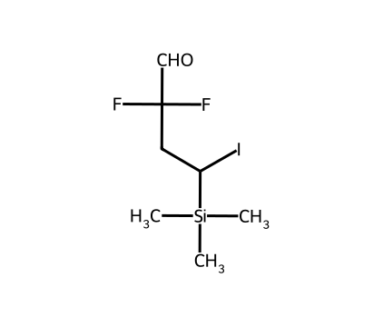 C[Si](C)(C)C(I)CC(F)(F)C=O